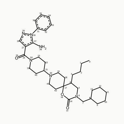 CCCCC1CN(CC2CCCCC2)C(=O)OC12CCN(C1CCN(C(=O)c3cnn(-c4ccccc4)c3N)CC1)CC2